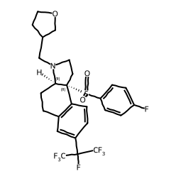 O=S(=O)(c1ccc(F)cc1)[C@@]12CCN(CC3CCOC3)[C@@H]1CCc1cc(C(F)(C(F)(F)F)C(F)(F)F)ccc12